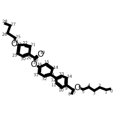 CCCCCCOC(C)c1ccc(-c2ccc(OC(=O)c3ccc(OCCCC)cc3)cc2)cc1